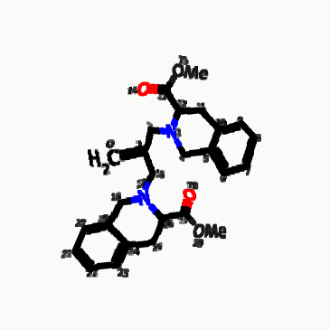 C=C(CN1Cc2ccccc2CC1C(=O)OC)CN1Cc2ccccc2CC1C(=O)OC